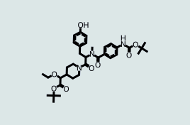 CCOC(C(=O)OC(C)(C)C)C1CCN(C(=O)C(Cc2ccc(O)cc2)N(C)C(=O)c2ccc(NC(=O)OC(C)(C)C)cc2)CC1